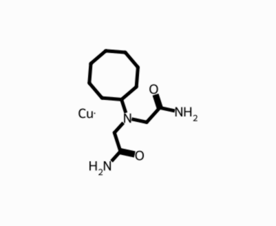 NC(=O)CN(CC(N)=O)C1CCCCCCC1.[Cu]